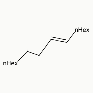 [CH2]CCCCCC=CC[CH]CCCCCC